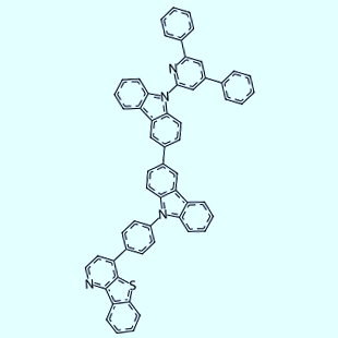 c1ccc(-c2cc(-c3ccccc3)nc(-n3c4ccccc4c4cc(-c5ccc6c(c5)c5ccccc5n6-c5ccc(-c6ccnc7c6sc6ccccc67)cc5)ccc43)c2)cc1